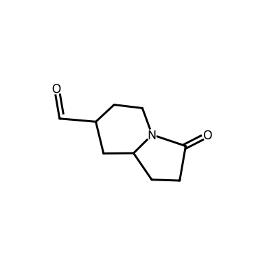 O=CC1CCN2C(=O)CCC2C1